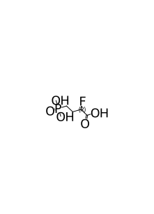 O=C(O)[C@H](F)CCP(=O)(O)O